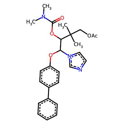 CC(=O)OCC(C)(C)C(OC(=O)N(C)C)C(Oc1ccc(-c2ccccc2)cc1)n1ccnc1